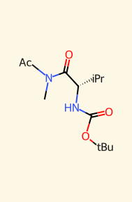 CC(=O)N(C)C(=O)[C@@H](NC(=O)OC(C)(C)C)C(C)C